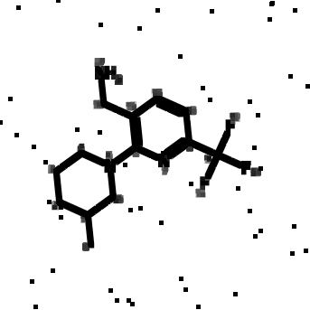 CC1CCCN(c2nc(C(F)(F)F)ccc2CN)C1